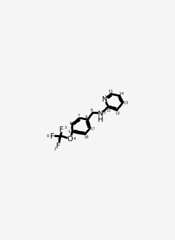 FC(F)(F)Oc1ccc(CNc2ccccn2)cc1